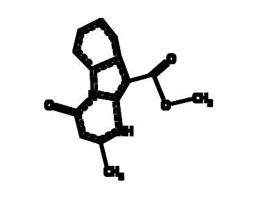 COC(=O)c1c2ccccc2n2c(=O)cc(C)[nH]c12